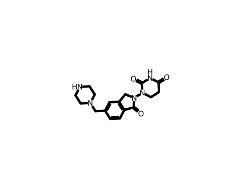 O=C1CCN(N2Cc3cc(CN4CCNCC4)ccc3C2=O)C(=O)N1